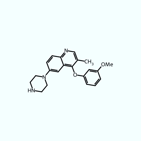 COc1cccc(Oc2c(C)cnc3ccc(N4CCNCC4)cc23)c1